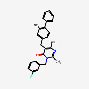 CCCCc1nc(C)n(Cc2cccc(F)c2)c(=O)c1Cc1ccc(-c2ccccc2)c(C#N)c1